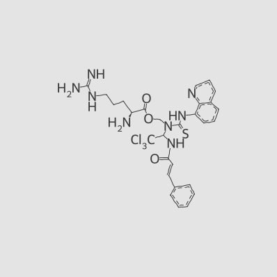 N=C(N)NCCC[C@H](N)C(=O)OCN(C(=S)Nc1cccc2cccnc12)C(NC(=O)/C=C/c1ccccc1)C(Cl)(Cl)Cl